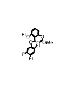 CCOc1cccc(OC(=O)OC)c1COc1cc(F)c(CC)cc1CC